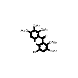 COc1cc(C)c(C(=O)c2c(C)c(Br)cc(OC)c2OC)c(OC)c1OC